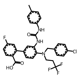 Cc1ccc(NC(=O)Nc2cc(-c3cc(F)ccc3C(=O)O)ccc2N(CCC(F)(F)F)Cc2ccc(Cl)cc2)cc1